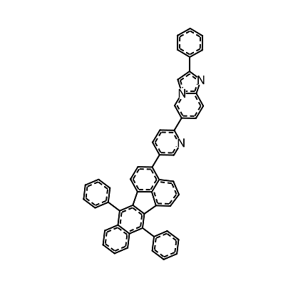 c1ccc(-c2cn3cc(-c4ccc(-c5ccc6c7c(cccc57)-c5c-6c(-c6ccccc6)c6ccccc6c5-c5ccccc5)cn4)ccc3n2)cc1